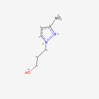 O=[N+]([O-])c1ccn(CCCO)n1